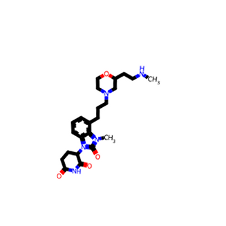 CNCCC1CN(CCCc2cccc3c2n(C)c(=O)n3C2CCC(=O)NC2=O)CCO1